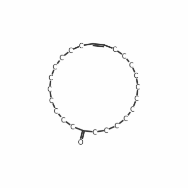 O=C1CCCCCCCCCCC=CCCCCCCCCCCC1